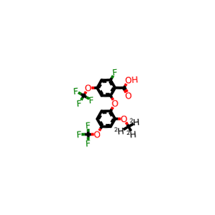 [2H]C([2H])([2H])Oc1cc(OC(F)(F)F)ccc1Oc1cc(OC(F)(F)F)cc(F)c1C(=O)O